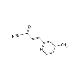 Cc1ccnc(/C=C/C(=O)C#N)c1